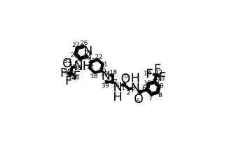 O=C(CNC(=O)c1cccc(C(F)(F)F)c1)NC1CN([C@H]2CC[C@@H](c3ncccc3NC(=O)C(F)(F)F)CC2)C1